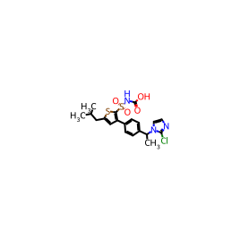 CC(C)Cc1cc(-c2ccc(C(C)n3ccnc3Cl)cc2)c(S(=O)(=O)NC(=O)O)s1